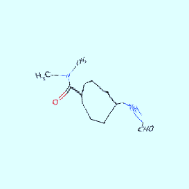 CN(C)C(=O)C1CCC(NC=O)CC1